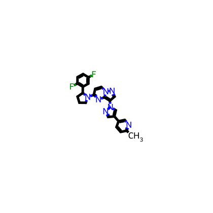 Cc1ccc(-c2cnn(-c3cnn4ccc(N5CCCC5c5cc(F)ccc5F)nc34)c2)cn1